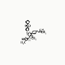 COc1c(Nc2cc(C)[nH]n2)nc(Sc2ccc(S(=O)(=O)c3ccccc3)cc2)nc1N1CCN(CCN(C)C)CC1